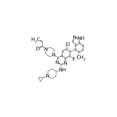 C=CC(=O)N1CCN(c2nc(NC3CCN(C4CC4)CC3)nc3c(F)c(-c4c(C)ccc5[nH]ncc45)c(Cl)cc23)CC1